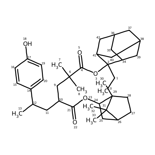 CCC1(OC(=O)C(C)(C)CC(CC(C)c2ccc(O)cc2)C(=O)OC2CC3CCC2(C)C3(C)C)C2CC3CC(C2)CC1C3